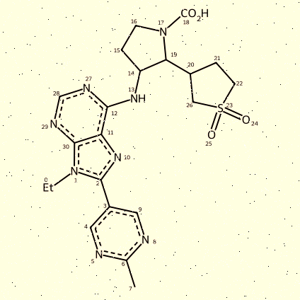 CCn1c(-c2cnc(C)nc2)nc2c(NC3CCN(C(=O)O)C3C3CCS(=O)(=O)C3)ncnc21